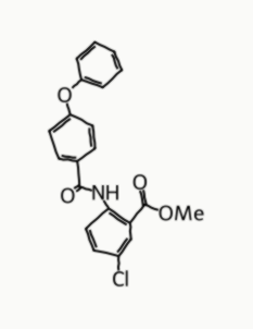 COC(=O)c1cc(Cl)ccc1NC(=O)c1ccc(Oc2ccccc2)cc1